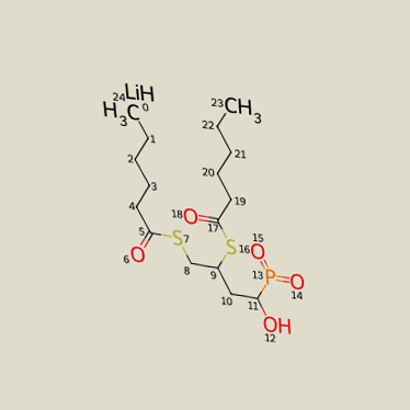 CCCCCC(=O)SCC(CC(O)P(=O)=O)SC(=O)CCCCC.[LiH]